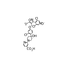 O=C(O)c1ccnc(N2CCC(O)(c3ccc(OCc4c(-c5c(Cl)c[n+]([O-])cc5Cl)noc4C4CC4)cc3Cl)CC2)c1